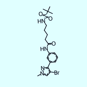 Cn1cc(Br)c(-c2cccc(NC(=O)CCCCNS(=O)(=O)C(C)(C)C)c2)n1